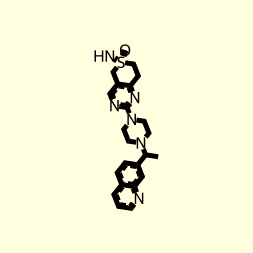 CC(c1ccc2cccnc2c1)N1CCN(c2ncc3c(n2)CCS(=N)(=O)C3)CC1